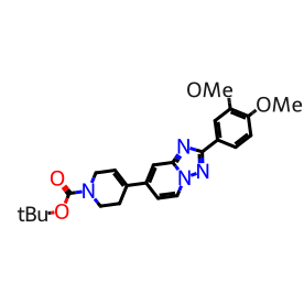 COc1ccc(-c2nc3cc(C4=CCN(C(=O)OC(C)(C)C)CC4)ccn3n2)cc1OC